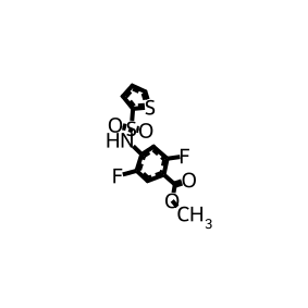 COC(=O)c1cc(F)c(NS(=O)(=O)c2cccs2)cc1F